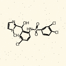 Cn1ccnc1C(O)c1cc(Cl)ccc1NS(=O)(=O)c1ccc(Cl)c(Cl)c1